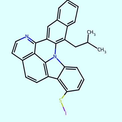 CC(C)Cc1c2ccccc2cc2c3nccc4ccc5c6c(SI)cccc6n(c12)c5c43